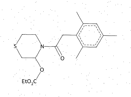 CCOC(=O)OC1CSCCN1C(=O)Cc1c(C)cc(C)cc1C